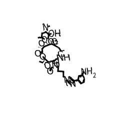 CC[C@H]1OC(=O)[C@H](C)C(=O)[C@@H](C)[C@@H](O[C@@H]2OC(C)CC(N(C)C)C2O)[C@](C)(OC)C[C@@H](C)CN[C@H](C)[C@H]2N(CCCCn3cc(-c4cccc(N)c4)nn3)C(=O)O[C@]12C